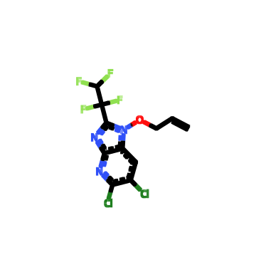 C=CCOn1c(C(F)(F)C(F)F)nc2nc(Cl)c(Cl)cc21